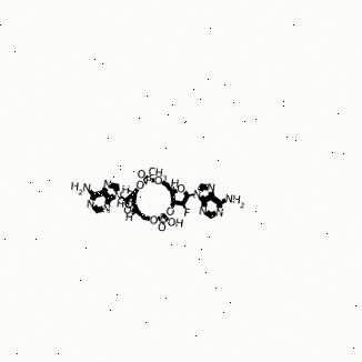 C[P@@]1(=O)OC[C@H]2O[C@@H](n3cnc4c(N)ncnc43)[C@@H](F)C2OP(=O)(O)OC[C@H]2O[C@@H](n3cnc4c(N)ncnc43)[C@@H](O1)C2O